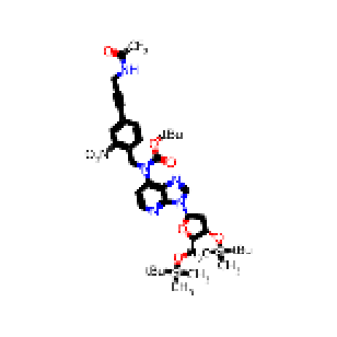 CC(C)(C)OC(=O)N(Cc1ccc(C#CCNC(=O)C(F)(F)F)cc1[N+](=O)[O-])c1ccnc2c1ncn2[C@H]1C[C@@H](O[Si](C)(C)C(C)(C)C)[C@@H](CO[Si](C)(C)C(C)(C)C)O1